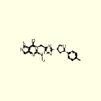 Cc1ccc([C@H]2C[C@H](c3noc(Cn4c(N)nc5cnn(C)c5c4=O)n3)CO2)cc1